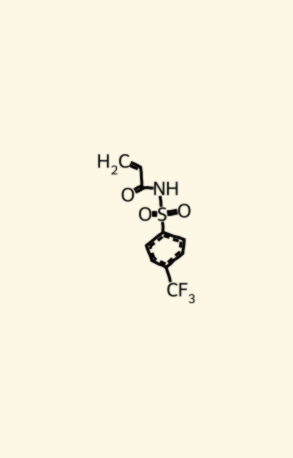 C=CC(=O)NS(=O)(=O)c1ccc(C(F)(F)F)cc1